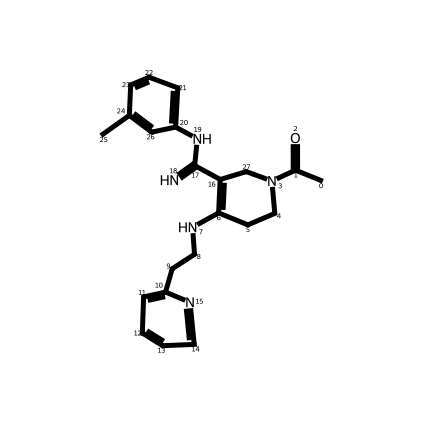 CC(=O)N1CCC(NCCc2ccccn2)=C(C(=N)Nc2cccc(C)c2)C1